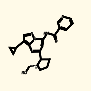 O=C(Nc1cc(C2CCC[C@@H]2CO)nc2c(C3CC3)cnn12)c1cccnc1